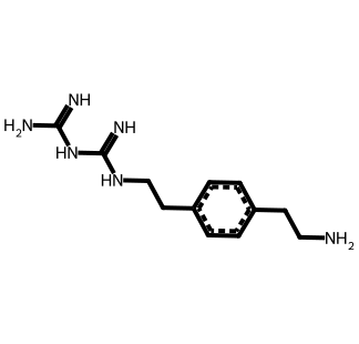 N=C(N)NC(=N)NCCc1ccc(CCN)cc1